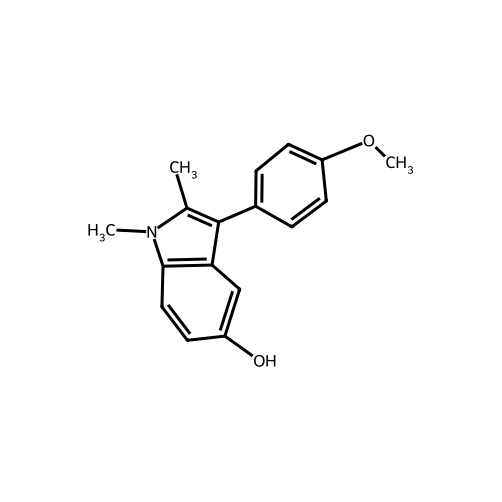 COc1ccc(-c2c(C)n(C)c3ccc(O)cc23)cc1